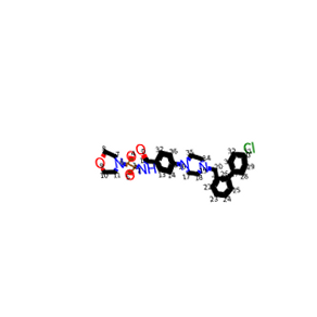 O=C(NS(=O)(=O)N1CCOCC1)c1ccc(N2CCN(Cc3ccccc3-c3ccc(Cl)cc3)CC2)cc1